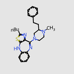 CCCCc1nc2c(s1)Nc1ccccc1N=C2N1CCN(C)C(CCc2ccccc2)C1